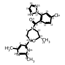 Cc1cc(N2CCN(C(=O)c3ccc(Cl)cc3-n3nccn3)C[C@H](C)O2)nc(C)n1